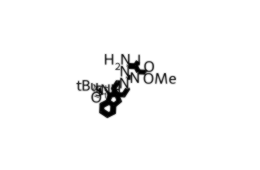 COC(=O)c1nc(N2CCC3(CC2)Cc2ccccc2[C@H]3N[S@+]([O-])C(C)(C)C)nc(N)c1I